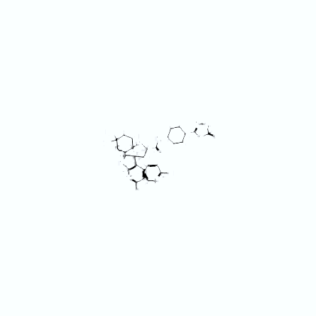 CC1(C)CCC2(CC1)N[C@@H](C(=O)N[C@H]1CC[C@H](c3n[nH]c(=O)o3)CC1)[C@H](c1ccnc(Cl)c1)[C@@]21c2ccc(Cl)nc2N[C@@H]1O